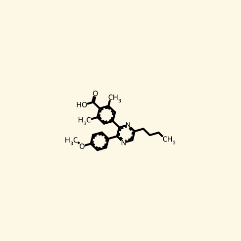 CCCCc1cnc(-c2ccc(OC)cc2)c(-c2cc(C)c(C(=O)O)c(C)c2)n1